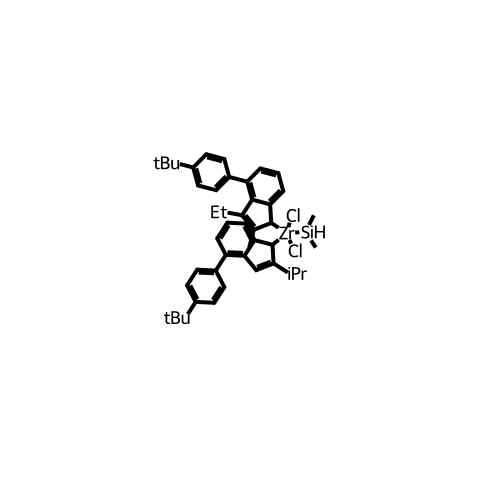 CCC1=C(C)[CH]([Zr]([Cl])([Cl])([CH]2C(C(C)C)=Cc3c(-c4ccc(C(C)(C)C)cc4)cccc32)[SiH](C)C)c2cccc(-c3ccc(C(C)(C)C)cc3)c21